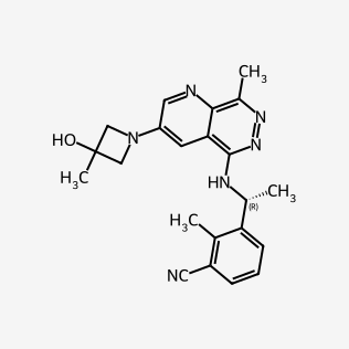 Cc1c(C#N)cccc1[C@@H](C)Nc1nnc(C)c2ncc(N3CC(C)(O)C3)cc12